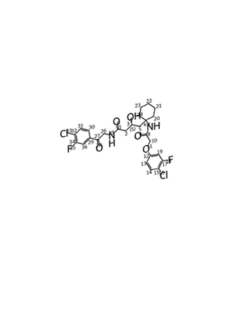 O=C(C[C@@H](O)CC1(NC(=O)COc2ccc(Cl)c(F)c2)CCCCC1)NCC(=O)c1ccc(Cl)c(F)c1